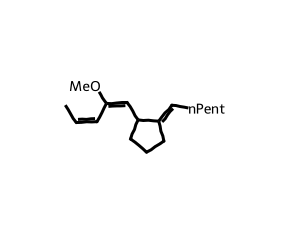 C/C=C\C(=CC1CCC/C1=C\CCCCC)OC